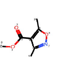 CCOC(=O)c1c(C)noc1C